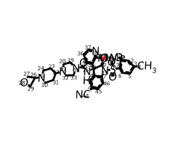 COc1cc(C)ccc1S(=O)(=O)N1C(=O)[C@@](NC(=O)N2CCN(C3CCN(C4COC4)CC3)CC2)(c2cccnc2OC)c2cc(C#N)ccc21